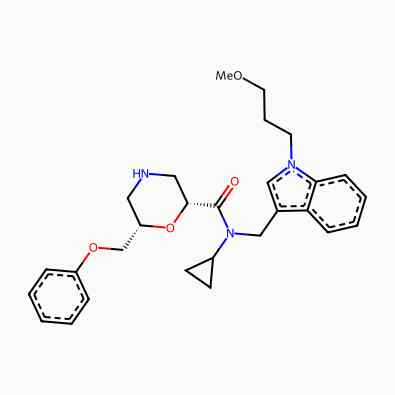 COCCCn1cc(CN(C(=O)[C@H]2CNC[C@@H](COc3ccccc3)O2)C2CC2)c2ccccc21